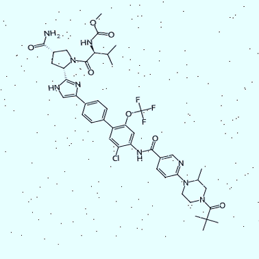 COC(=O)N[C@H](C(=O)N1C[C@@H](C(N)=O)C[C@H]1c1nc(-c2ccc(-c3cc(Cl)c(NC(=O)c4ccc(N5CCN(C(=O)C(C)(C)C)CC5C)nc4)cc3OC(F)(F)F)cc2)c[nH]1)C(C)C